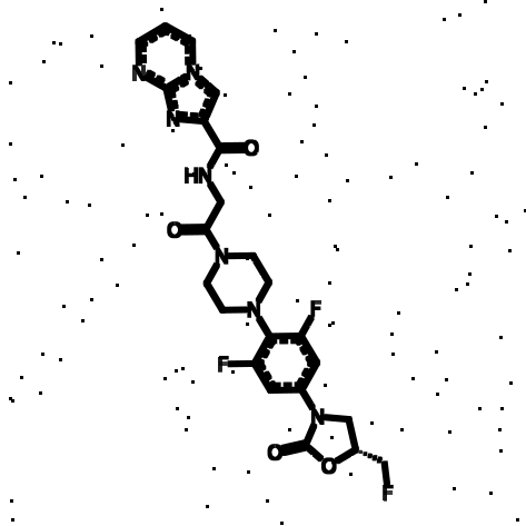 O=C(NCC(=O)N1CCN(c2c(F)cc(N3C[C@H](CF)OC3=O)cc2F)CC1)c1cn2cccnc2n1